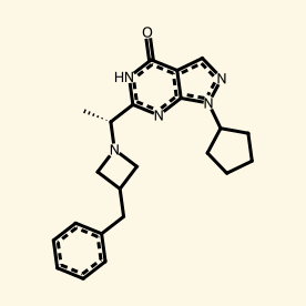 C[C@H](c1nc2c(cnn2C2CCCC2)c(=O)[nH]1)N1CC(Cc2ccccc2)C1